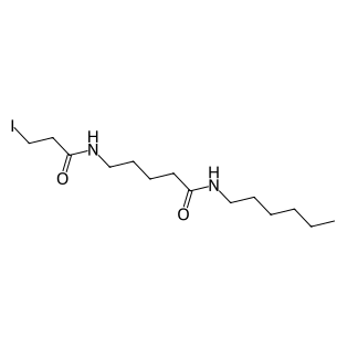 CCCCCCNC(=O)CCCCNC(=O)CCI